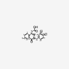 Cc1ccc2c(CC(=O)O)nn(Cc3ccc(Cl)c(Cl)c3)c(=O)c2c1